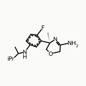 CC(C)C(C)Nc1ccc(F)c([C@]2(C)COCC(N)=N2)c1